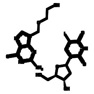 Nc1nc2c(ncn2COCCO)c(=O)[nH]1.O=c1[nH]c(=O)n(C2C[C@H](O)[C@@H](CO)O2)cc1I